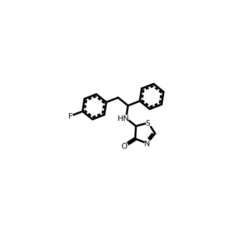 O=C1N=CSC1NC(Cc1ccc(F)cc1)c1ccccc1